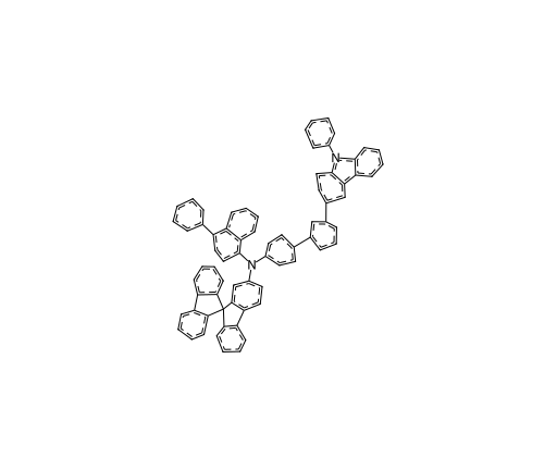 c1ccc(-c2ccc(N(c3ccc(-c4cccc(-c5ccc6c(c5)c5ccccc5n6-c5ccccc5)c4)cc3)c3ccc4c(c3)C3(c5ccccc5-c5ccccc53)c3ccccc3-4)c3ccccc23)cc1